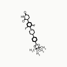 CC1(C)OB(c2ccc(C3CCN(c4c(F)cc(C5CCC(=O)NC5=O)cc4F)CC3)cc2)OC1(C)C